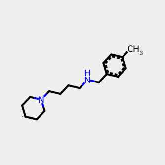 Cc1ccc(CNCCCCN2CC[CH]CC2)cc1